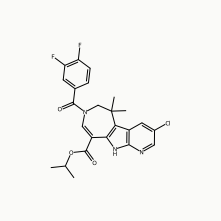 CC(C)OC(=O)C1=CN(C(=O)c2ccc(F)c(F)c2)CC(C)(C)c2c1[nH]c1ncc(Cl)cc21